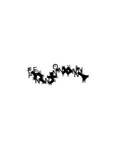 O=C(N1CC2(CC(n3cnc(C4CC4)n3)C2)C1)N1CC2(CCN(Cc3ccc(C(F)(F)F)cn3)C2)C1